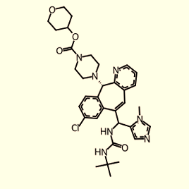 Cn1cncc1C(NC(=O)NC(C)(C)C)C1=Cc2cccnc2[C@@H](N2CCN(C(=O)OC3CCOCC3)CC2)c2ccc(Cl)cc21